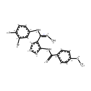 O=C(Nc1nonc1/C(=N\O)Nc1ccc(F)c(Br)c1)c1ccc(OC(F)(F)F)cc1